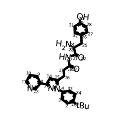 CC(C)(C)c1ccc(-n2nc(-c3cccnc3)cc2CCC(=O)NC(=O)[C@@H](N)Cc2ccc(O)cc2)cc1